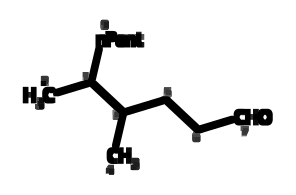 CCCCCC(C)C(C)CCC=O